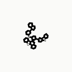 c1cc(-c2cccc3ccccc23)cc(N(c2ccc(-c3ccc4sc5ccccc5c4c3)cc2)c2cccc3oc4c5ccccc5ccc4c23)c1